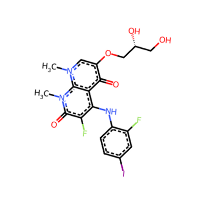 Cn1cc(OC[C@H](O)CO)c(=O)c2c(Nc3ccc(I)cc3F)c(F)c(=O)n(C)c21